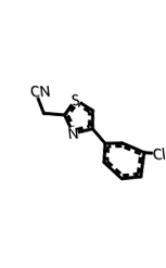 N#CCc1nc(-c2cccc(Cl)c2)cs1